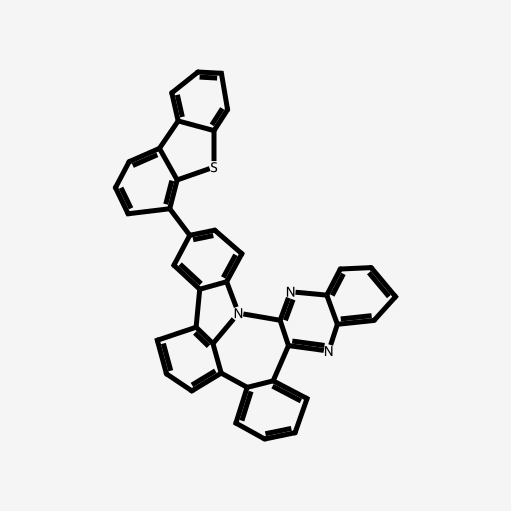 c1ccc2c(c1)-c1nc3ccccc3nc1-n1c3ccc(-c4cccc5c4sc4ccccc45)cc3c3cccc-2c31